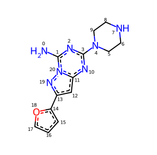 Nc1nc(N2CCNCC2)nc2cc(-c3ccco3)nn12